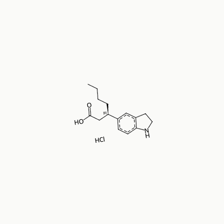 CCCC[C@H](CC(=O)O)c1ccc2c(c1)CCN2.Cl